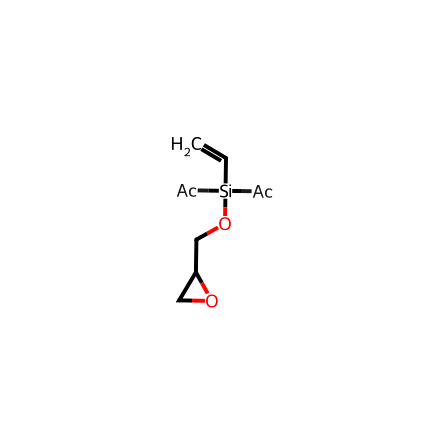 C=C[Si](OCC1CO1)(C(C)=O)C(C)=O